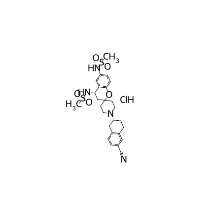 CS(=O)(=O)Nc1ccc2c(c1)[C@@H](NS(C)(=O)=O)CC1(CCN([C@@H]3CCc4cc(C#N)ccc4C3)CC1)O2.Cl